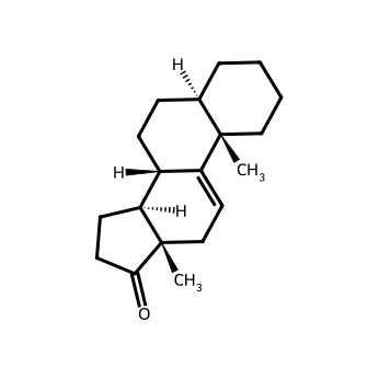 C[C@]12CCCC[C@@H]1CC[C@@H]1C2=CC[C@]2(C)C(=O)CC[C@@H]12